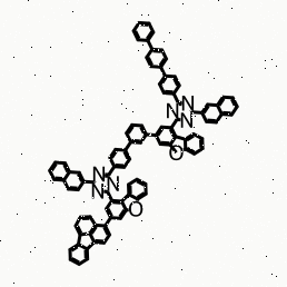 c1ccc(-c2ccc(-c3ccc(-c4nc(-c5ccc6ccccc6c5)nc(-c5cc(-c6cccc(-c7ccc(-c8nc(-c9ccc%10ccccc%10c9)nc(-c9cc(-c%10ccc%11c%12c(cccc%10%12)-c%10ccccc%10-%11)cc%10oc%11ccccc%11c9%10)n8)cc7)c6)cc6oc7ccccc7c56)n4)cc3)cc2)cc1